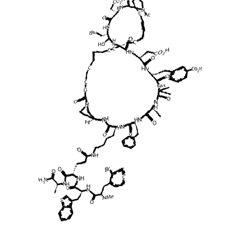 CN[C@@H](Cc1ccccc1Br)C(=O)N[C@@H](Cc1csc2ccccc12)C(=O)N[C@@H](CCC(=O)NCCCC[C@@H]1NC(=O)[C@H](Cc2ccccc2)NC(=O)[C@H](C)NC(=O)C(C)(C)NC(=O)[C@H](Cc2cccc(C(=O)O)c2)NC(=O)[C@H](CC(=O)O)NC(=O)[C@@]2(CCC/C=C\C[C@]3(CCCN3C(C)=O)C(=O)N[C@@H](CC(=O)O)C(=O)N[C@@H](CC(C)(C)C)C(O)N2)CCC/C=C/CCCOC(=O)N2CC[C@@H](C2)NC1=O)C(=O)N[C@@H](C)C(N)=O